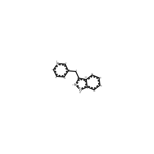 c1cncc(Cc2noc3ccccc23)c1